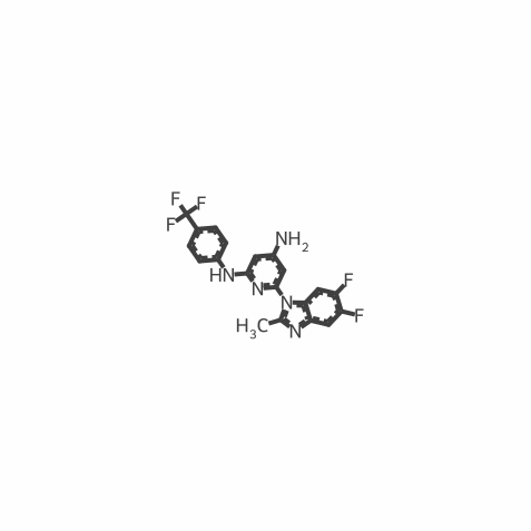 Cc1nc2cc(F)c(F)cc2n1-c1cc(N)cc(Nc2ccc(C(F)(F)F)cc2)n1